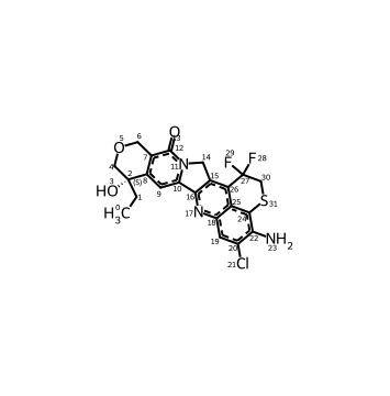 CC[C@@]1(O)COCc2c1cc1n(c2=O)Cc2c-1nc1cc(Cl)c(N)c3c1c2C(F)(F)CS3